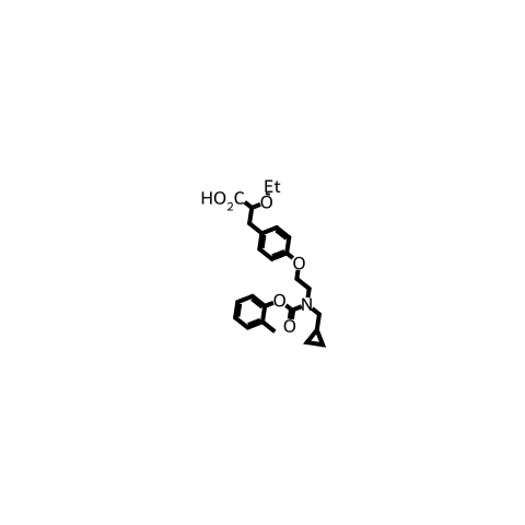 CCOC(Cc1ccc(OCCN(CC2CC2)C(=O)Oc2ccccc2C)cc1)C(=O)O